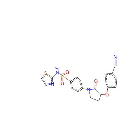 N#Cc1ccc(OC2CCN(c3ccc(S(=O)(=O)Nc4nccs4)cc3)C2=O)cc1